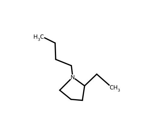 CCCCN1CCCC1CC